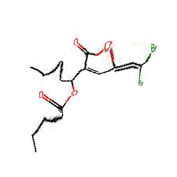 CCCC(=O)OC(CCC)C1=CC(=C(Br)Br)OC1=O